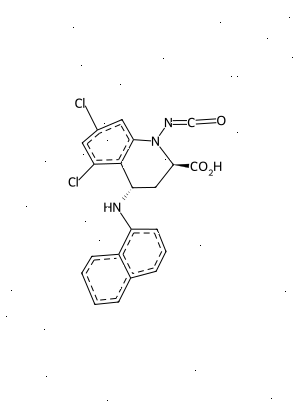 O=C=NN1c2cc(Cl)cc(Cl)c2[C@@H](Nc2cccc3ccccc23)C[C@@H]1C(=O)O